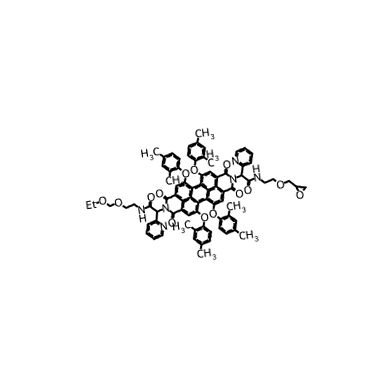 CCOCOCCNC(=O)C(c1ccccn1)N1C(=O)c2cc(Oc3ccc(C)cc3C)c3c4c(Oc5ccc(C)cc5C)cc5c6c(cc(Oc7ccc(C)cc7C)c(c7c(Oc8ccc(C)cc8C)cc(c2c37)C1=O)c64)C(=O)N(C(C(=O)NCCOCC1CO1)c1ccccn1)C5=O